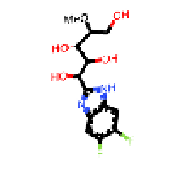 COC(CO)[C@@H](O)C(O)C(O)c1nc2cc(F)c(F)cc2[nH]1